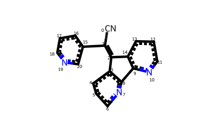 N#CC(=C1c2cccnc2-c2ncccc21)c1cccnc1